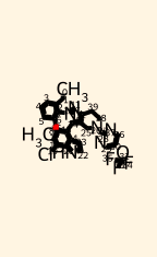 CCc1cccc(CC)c1-n1nc2c(c1-c1ccc(Cl)c3[nH]ccc13)CN(c1ncc(OC(F)(F)F)cn1)CC2